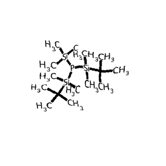 CC(C)(C)[Si](C)(C)P([Si](C)(C)C)[Si](C)(C)C(C)(C)C